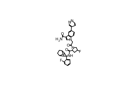 NC(=O)c1cn(CC(=O)N2CC(F)CC2C(=O)NC2(c3ccccc3F)C3C4CCC(C4)C32)c2ccc(-c3ccnnc3)cc12